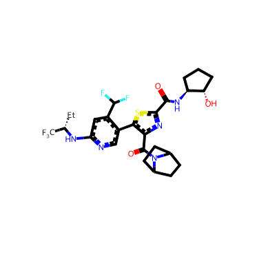 CC[C@H](Nc1cc(C(F)F)c(-c2sc(C(=O)N[C@H]3CCC[C@@H]3O)nc2C(=O)N2C3CCC2CC3)cn1)C(F)(F)F